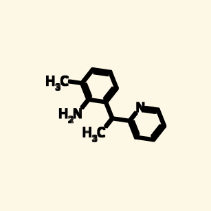 Cc1cccc(C(C)c2ccccn2)c1N